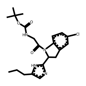 CCCc1cnc(C2Cc3cc(Cl)ccc3N2C(=O)CNC(=O)OC(C)(C)C)[nH]1